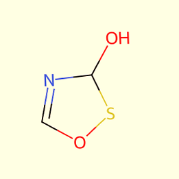 OC1N=COS1